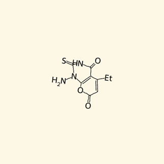 CCc1cc(=O)oc2c1c(=O)[nH]c(=S)n2N